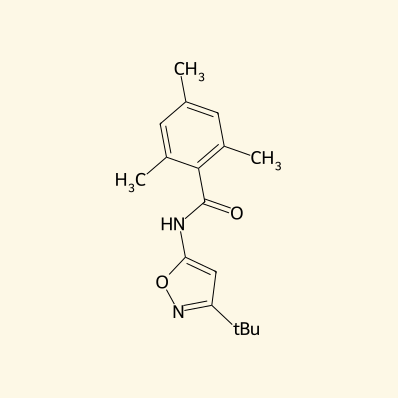 Cc1cc(C)c(C(=O)Nc2cc(C(C)(C)C)no2)c(C)c1